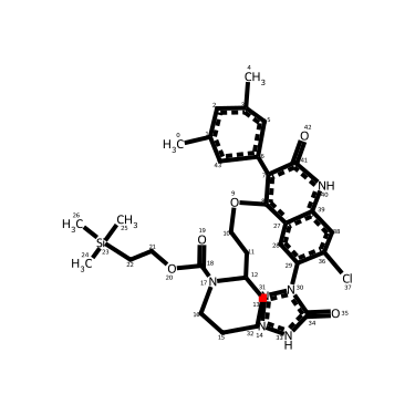 Cc1cc(C)cc(-c2c(OCCC3CCCCN3C(=O)OCC[Si](C)(C)C)c3cc(-n4nn[nH]c4=O)c(Cl)cc3[nH]c2=O)c1